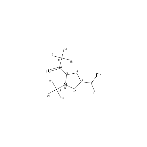 CC(F)C1CC(C(=O)C(C)(C)C)N(C(C)(C)C)C1